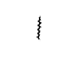 CCCC[C]CCCCCCC